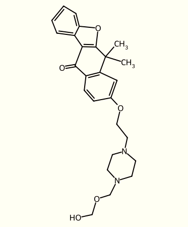 CC1(C)c2cc(OCCN3CCN(COCO)CC3)ccc2C(=O)c2c1oc1ccccc21